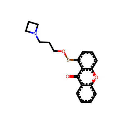 O=c1c2ccccc2oc2cccc(SOCCCN3CCC3)c12